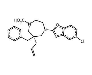 C=CC[C@]1(Cc2ccccc2)CN(C(=O)O)CCN(c2nc3cc(Cl)ccc3o2)C1